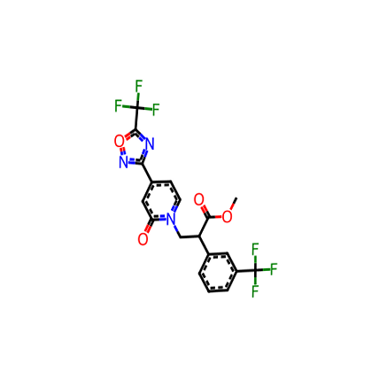 COC(=O)C(Cn1ccc(-c2noc(C(F)(F)F)n2)cc1=O)c1cccc(C(F)(F)F)c1